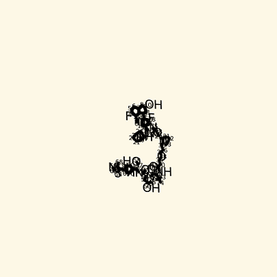 C#Cc1c(F)ccc2cc(O)cc(-c3ncc4c(N5CC6CCC(C5)N6)nc(OC[C@@H]5CCCN5CCCOCCC(=O)N[C@H](C(=O)N5C[C@H](O)C[C@H]5C(=O)N[C@@H](CO)c5ccc(-c6scnc6C)cc5)C(C)(C)C)nc4c3F)c12